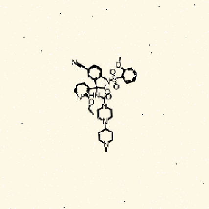 CCOc1ncccc1C1(NC(=O)N2CCN(C3CCN(C)CC3)CC2)C(=O)N(S(=O)(=O)c2ccccc2OC)c2ccc(C#N)cc21